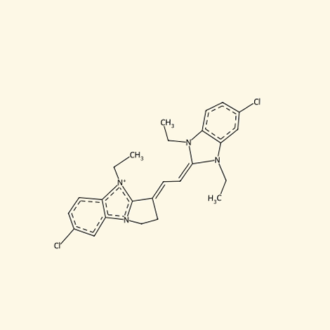 CCN1C(=CC=C2CCn3c2[n+](CC)c2ccc(Cl)cc23)N(CC)c2cc(Cl)ccc21